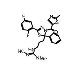 CN/C(=N/C#N)NCCCC1(c2ccccc2)SC(c2cc(F)ccc2F)=NN1C(=O)c1cnc(C)s1